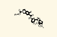 CC(C)OC(=O)N1CCc2cc(F)c(C(=O)Nc3cccc(-c4nnc5n4C(C)(C)CC5)n3)cc2C1